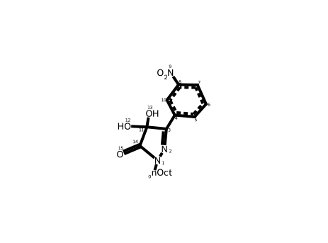 CCCCCCCCN1N=C(c2cccc([N+](=O)[O-])c2)C(O)(O)C1=O